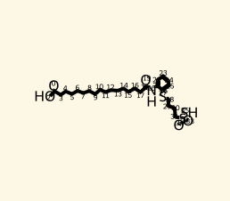 O=C(O)CCCCCCCCCCCCCCCC(=O)Nc1ccccc1SCCCCS(=O)(=O)S